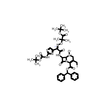 CC(C)(C)OC(=O)Nc1nc(/C(=N/OC(C)(C)C(=O)OC(C)(C)C)C(=O)NC2C(=O)N3C(C(=O)OC(c4ccccc4)c4ccccc4)=C(CI)C[S+]([O-])C23)cs1